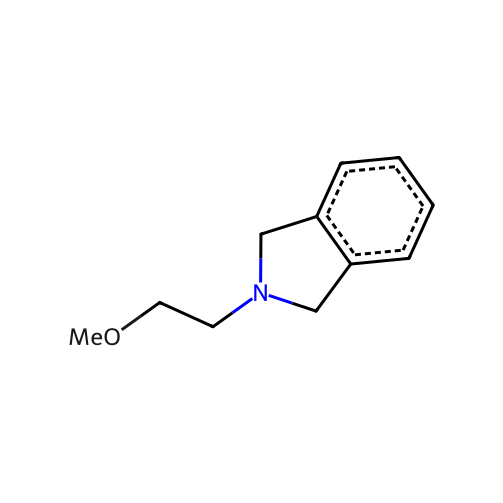 COCCN1Cc2ccccc2C1